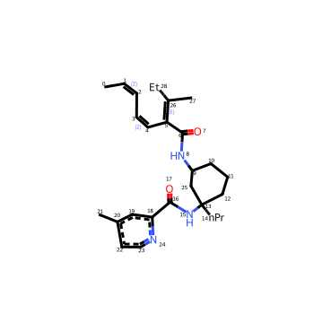 C\C=C/C=C\C(C(=O)NC1CCCC(CCC)(NC(=O)c2cc(C)ccn2)C1)=C(\C)CC